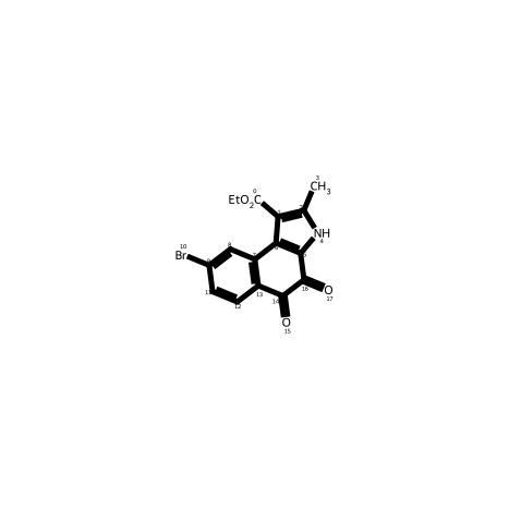 CCOC(=O)c1c(C)[nH]c2c1-c1cc(Br)ccc1C(=O)C2=O